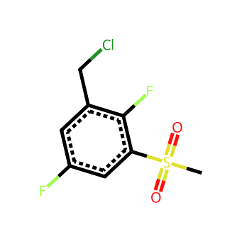 CS(=O)(=O)c1cc(F)cc(CCl)c1F